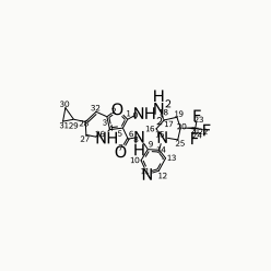 Nc1oc2c(c1C(=O)Nc1cnccc1N1C[C@@H](N)C[C@@H](C(F)(F)F)C1)NCC(C1CC1)=C2